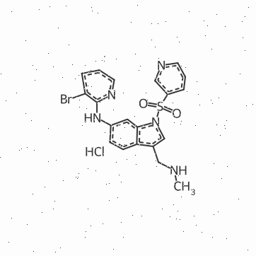 CNCc1cn(S(=O)(=O)c2cccnc2)c2cc(Nc3ncccc3Br)ccc12.Cl